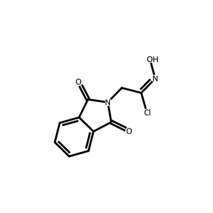 O=C1c2ccccc2C(=O)N1C/C(Cl)=N\O